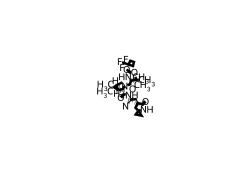 CC(C)(C)[C@H](NC(=O)OC1(C(F)(F)F)CCC1)C(=O)N1C[C@H]2[C@@H]([C@H]1C(=O)N[C@H](C#N)C[C@@H]1CC3(CC3)NC1=O)C2(C)C